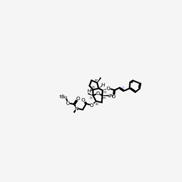 CC(C)[C@@]12C[C@@H](OC(=O)CN(C)C(=O)OC(C)(C)C)[C@@](C)(O1)[C@@H]1CC[C@@H](C)[C@H]1[C@@H]2OC(=O)/C=C/c1ccccc1